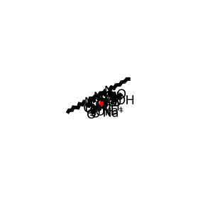 CCCCCCCCN(CC(O)CN(CCS(=O)(=O)O)CC(O)CN(CCCCCCCC)C(=O)CC(C(=O)O)S(=O)(=O)[O-])C(=O)CC(C(=O)O)S(=O)(=O)[O-].[Na+].[Na+]